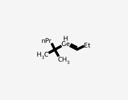 [CH2]C[CH]=[GeH][C](C)(C)CCC